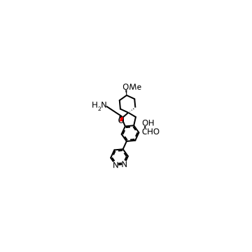 CO[C@H]1CC[C@]2(CC1)Cc1ccc(-c3ccnnc3)cc1C21COC(N)=N1.O=CO